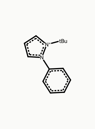 CC(C)(C)[n+]1cccn1-c1ccccc1